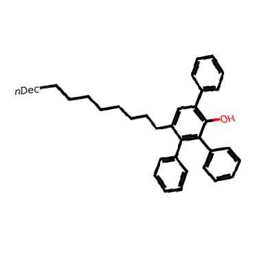 CCCCCCCCCCCCCCCCCCc1cc(-c2ccccc2)c(O)c(-c2ccccc2)c1-c1ccccc1